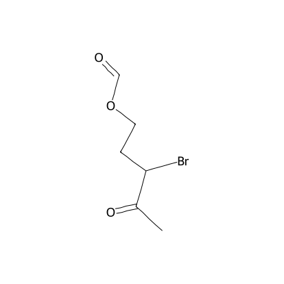 CC(=O)C(Br)CCOC=O